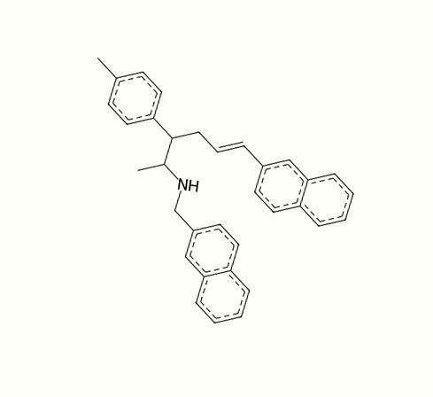 Cc1ccc(C(C/C=C/c2ccc3ccccc3c2)C(C)NCc2ccc3ccccc3c2)cc1